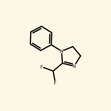 FC(F)C1=NCCN1c1ccccc1